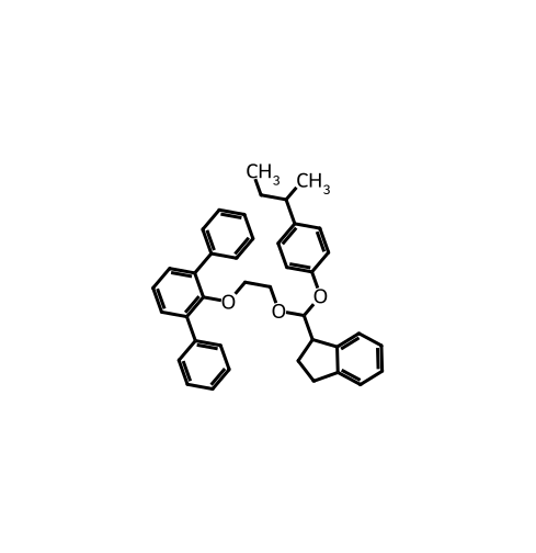 CCC(C)c1ccc(OC(OCCOc2c(-c3ccccc3)cccc2-c2ccccc2)C2CCc3ccccc32)cc1